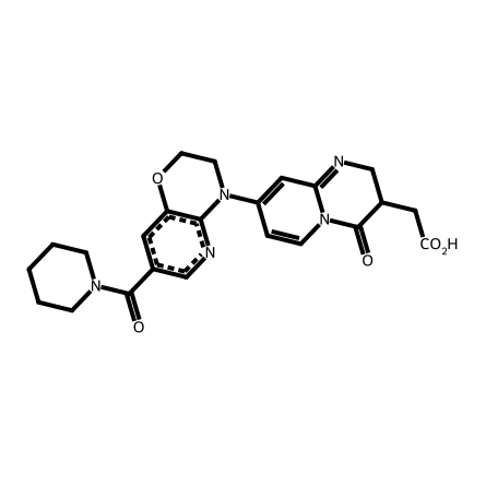 O=C(O)CC1CN=C2C=C(N3CCOc4cc(C(=O)N5CCCCC5)cnc43)C=CN2C1=O